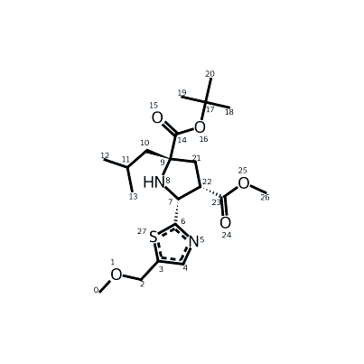 COCc1cnc([C@@H]2N[C@](CC(C)C)(C(=O)OC(C)(C)C)C[C@@H]2C(=O)OC)s1